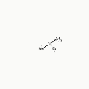 [BH2][Au][Mo].[Cr]